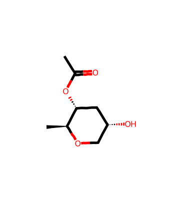 CC(=O)O[C@@H]1C[C@H](O)CO[C@H]1C